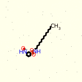 CCCCCCCCCCCCCCCCNS(=O)(=O)c1cccc(N[C]=O)c1